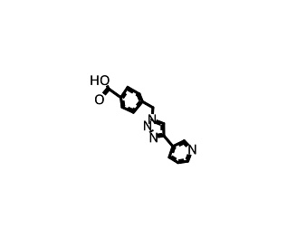 O=C(O)c1ccc(Cn2cc(-c3cccnc3)nn2)cc1